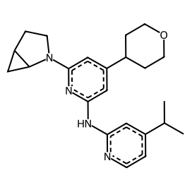 CC(C)c1ccnc(Nc2cc(C3CCOCC3)cc(N3CCC4CC43)n2)c1